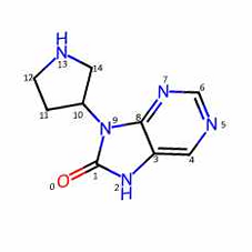 O=c1[nH]c2cncnc2n1C1CCNC1